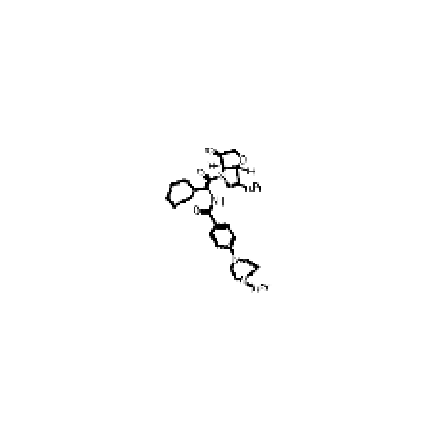 CCC[C@H]1CN(C(=O)[C@@H](NC(=O)c2ccc(N3CCN(CCC)CC3)cc2)C2CCCCC2)[C@@H]2C(=O)CO[C@H]12